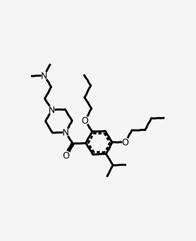 CCCCOc1cc(OCCCC)c(C(C)C)cc1C(=O)N1CCN(CCN(C)C)CC1